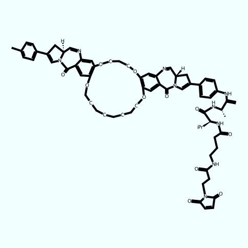 C=C(Nc1ccc(C2=CN3C(=O)c4cc5c(cc4N=C[C@@H]3C2)OCCCOc2cc3c(cc2OCCCCCCCCO5)C(=O)N2C=C(c4ccc(C)cc4)C[C@H]2C=N3)cc1)[C@H](C)NC(=O)[C@@H](NC(=O)CCCNC(=O)CCN1C(=O)C=CC1=O)C(C)C